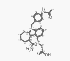 CC(=O)Nc1ccc(Cn2c3c(c4c(OCC(=O)O)cccc42)C(C(N)=O)CCCC3)cc1